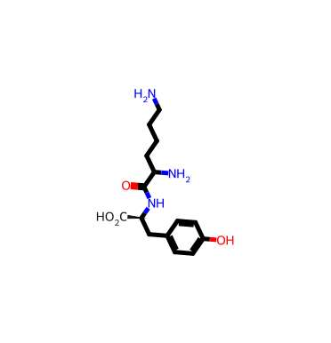 NCCCCC(N)C(=O)N[C@@H](Cc1ccc(O)cc1)C(=O)O